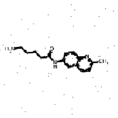 Cc1ccc2cc(NC(=O)CCCCN)ccc2n1